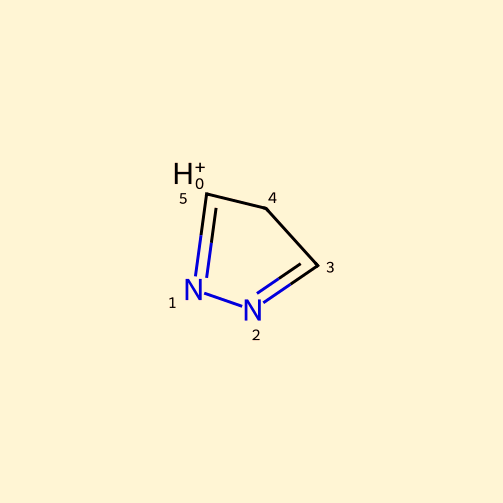 C1=NN=CC1.[H+]